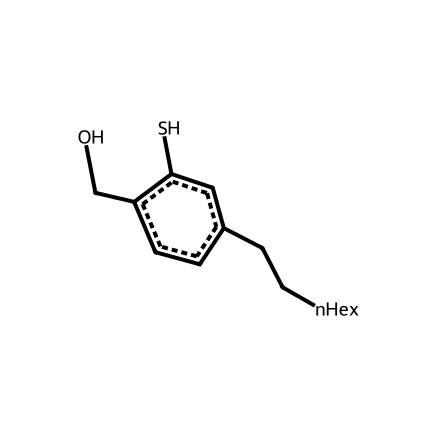 CCCCCCCCc1ccc(CO)c(S)c1